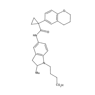 CC(C)(C)C1Cc2cc(NC(=O)C3(c4ccc5c(c4)CCCO5)CC3)ccc2N1CCCC(=O)O